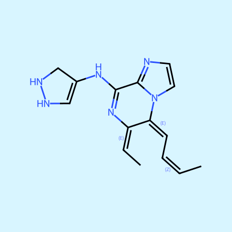 C\C=C/C=c1\c(=C/C)nc(NC2=CNNC2)c2nccn12